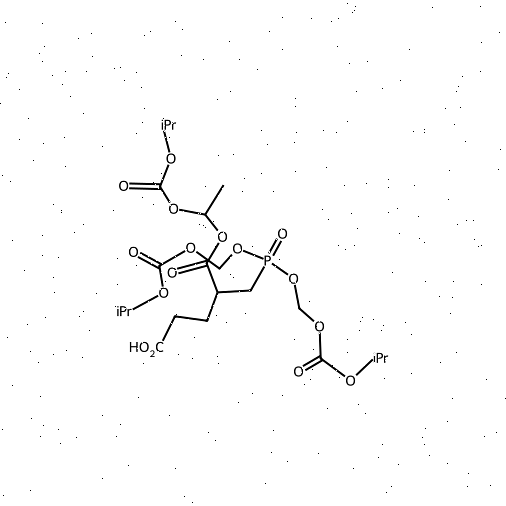 CC(C)OC(=O)OCOP(=O)(CC(CCC(=O)O)C(=O)OC(C)OC(=O)OC(C)C)OCOC(=O)OC(C)C